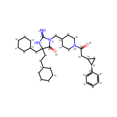 N=C1NC(CCC2CCCCC2)(CC2CCCCC2)C(=O)N1CC1CCN(C(=O)CC2C[C@H]2c2ccccc2)CC1